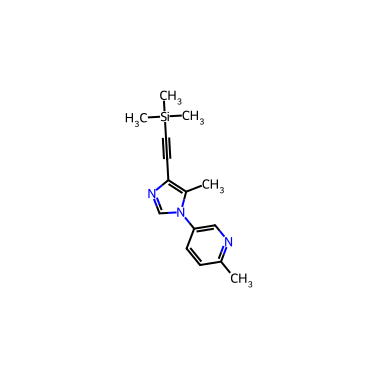 Cc1ccc(-n2cnc(C#C[Si](C)(C)C)c2C)cn1